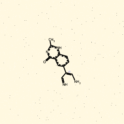 Cc1nc(=O)c2cc(/C(C=N)=C/N)ccc2[nH]1